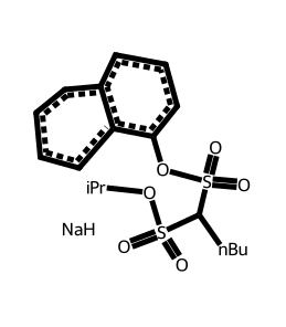 CCCCC(S(=O)(=O)Oc1cccc2ccccc12)S(=O)(=O)OC(C)C.[NaH]